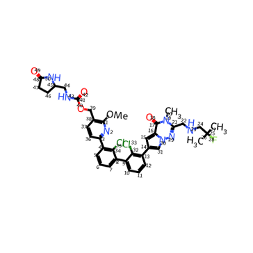 COc1nc(-c2cccc(-c3cccc(-c4cc5c(=O)n(C)c(CNCC(C)(C)F)nn5c4)c3Cl)c2Cl)ccc1COC(=O)NCC1CCC(=O)N1